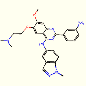 COc1cc2nc(-c3cccc(N)c3)nc(Nc3ccc4c(cnn4C)c3)c2cc1OCCN(C)C